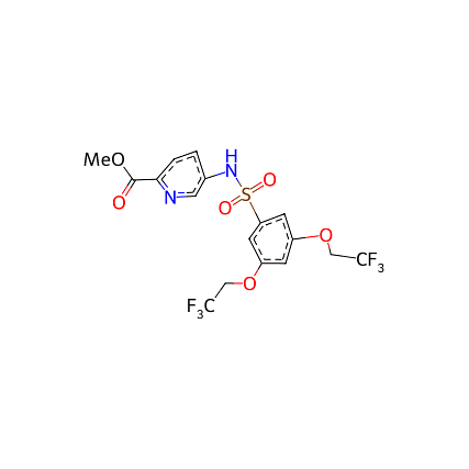 COC(=O)c1ccc(NS(=O)(=O)c2cc(OCC(F)(F)F)cc(OCC(F)(F)F)c2)cn1